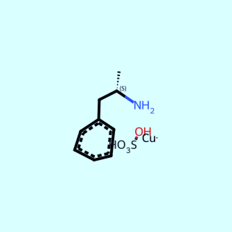 C[C@H](N)Cc1ccccc1.O=S(=O)(O)O.[Cu]